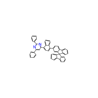 c1ccc(-c2cc(-c3ccc(-c4ccc5c(c4)C4(c6ccccc6-c6ccccc64)c4ccccc4-5)c4ccccc34)nc(-c3ccccc3)n2)cc1